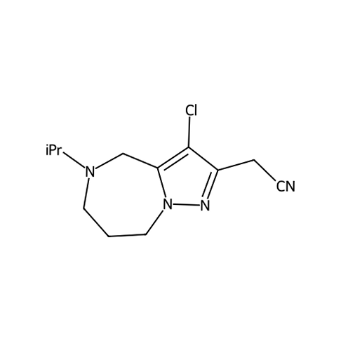 CC(C)N1CCCn2nc(CC#N)c(Cl)c2C1